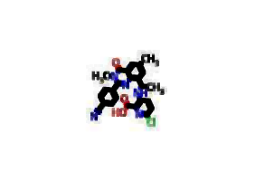 Cc1cc(C(C)Nc2ccc(Cl)nc2C(=O)O)c2nc(-c3ccc(C#N)cc3)n(C)c(=O)c2c1